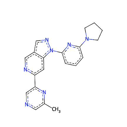 Cc1cncc(-c2cc3c(cn2)cnn3-c2cccc(N3CCCC3)n2)n1